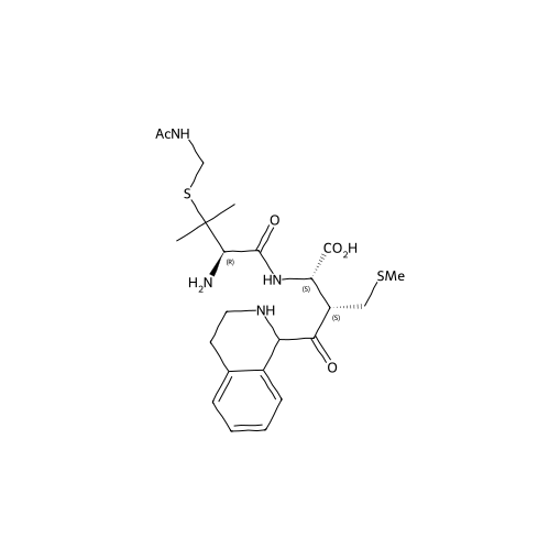 CSC[C@H](C(=O)C1NCCc2ccccc21)[C@H](NC(=O)[C@@H](N)C(C)(C)SCNC(C)=O)C(=O)O